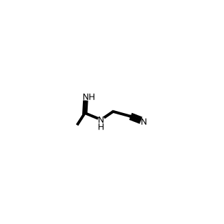 CC(=N)NCC#N